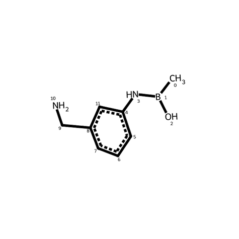 CB(O)Nc1cccc(CN)c1